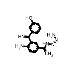 C=C(N/N=N\N)c1ccc(N)c(C(=N)c2cccc(O)c2)c1